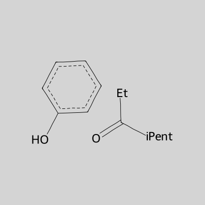 CCCC(C)C(=O)CC.Oc1ccccc1